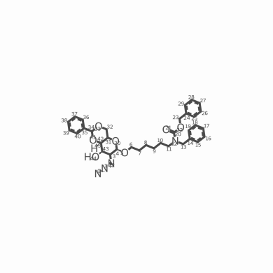 [N-]=[N+]=NC1[C@H](OCCCCCCN(Cc2ccccc2)C(=O)OCc2ccccc2)OC2COC(c3ccccc3)O[C@@H]2[C@@H]1O